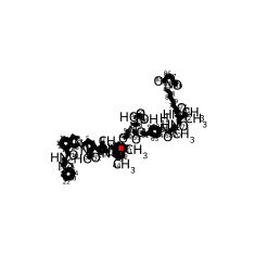 Cc1c(-c2ccc(N3CCc4cccc(C(=O)Nc5nc6ccccc6s5)c4C3)nc2C(=O)O)cnn1CC12CC3(C)CC(C)(C1)CC(OCCN(CCP(=O)(O)O)C(=O)OCc1ccc(NC(=O)[C@H](C)NC(=O)C(NC(=O)CCCCCN4C(=O)C=CC4=O)C(C)C)cc1)(C3)C2